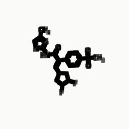 Cc1cnc(NC(=O)/C(=C/C2CC(F)C(F)C2)c2ccc(S(C)(=O)=O)cc2)s1